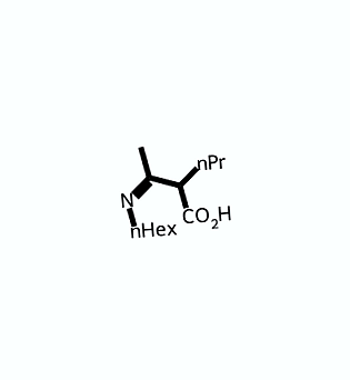 CCCCCCN=C(C)C(CCC)C(=O)O